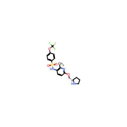 Cc1nc(OC[C@@H]2CCCN2)ccc1NS(=O)(=O)c1ccc(OC(F)(F)F)cc1